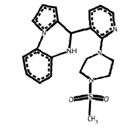 CS(=O)(=O)N1CCN(c2ncccc2C2Nc3ccccc3-n3cccc32)CC1